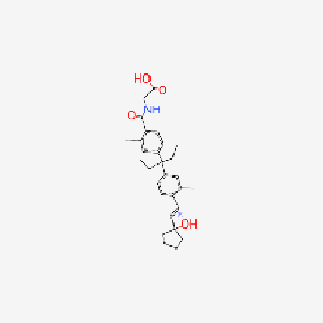 CCC(CC)(c1ccc(/C=C/C2(O)CCCC2)c(C)c1)c1ccc(C(=O)NCC(=O)O)c(C)c1